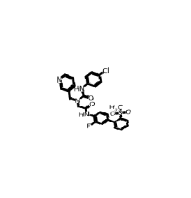 CS(=O)(=O)c1ccccc1-c1ccc(NC(=O)CN(Cc2cccnc2)C(=O)Nc2ccc(Cl)cc2)c(F)c1